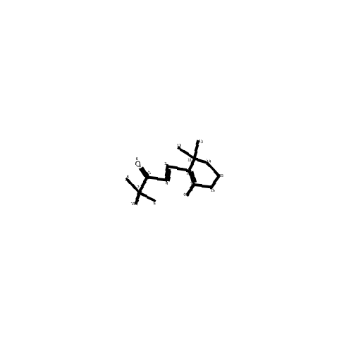 CC1=C(/C=C/C(=O)C(C)(C)C)C(C)(C)CCC1